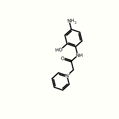 Nc1ccc(NC(=O)C[n+]2ccccc2)c(O)c1